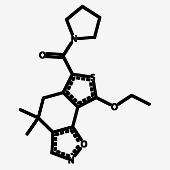 CCOc1sc(C(=O)N2CCCC2)c2c1-c1oncc1C(C)(C)C2